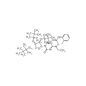 CCN(c1ccn([C@@H]2O[C@H](CO[Si](C)(C)C(C)(C)C)[C@@H](O[Si](C)(C)C(C)(C)C)[C@H]2O[Si](C)(C)C(C)(C)C)c(=O)n1)[C@@H](Cc1ccccc1)C(=O)O